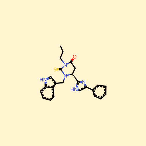 CCCN1C(=O)C[C@@H](c2nc(-c3ccccc3)c[nH]2)N(Cc2c[nH]c3ccccc23)C1=S